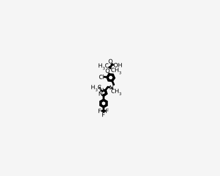 CN(Cc1ccc(OC(C)(C)C(=O)O)c(Cl)c1)Cc1cc(-c2ccc(C(F)(F)F)cc2)nn1C